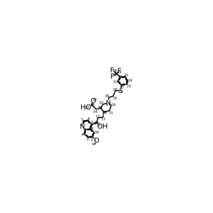 COc1ccc2nccc([C@H](O)CC[C@@H]3CCN(CCCSc4cccc(C(F)(F)F)c4)C[C@@H]3CC(=O)O)c2c1